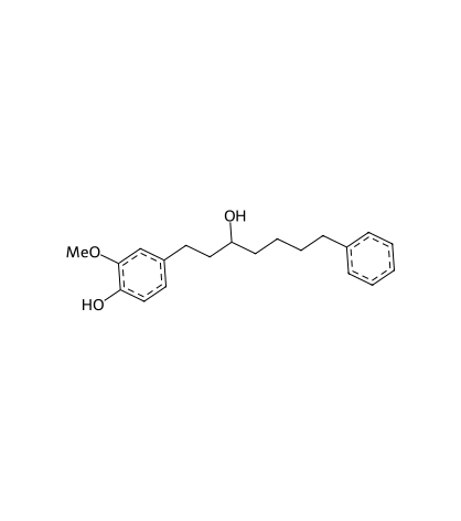 COc1cc(CCC(O)CCCCc2ccccc2)ccc1O